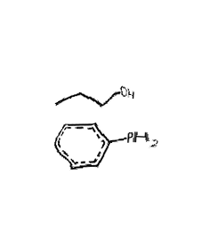 CCCO.Pc1ccccc1